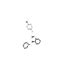 NC(=O)C1CCC(CNc2nc(Nc3ccccc3)c3ccccc3n2)CC1